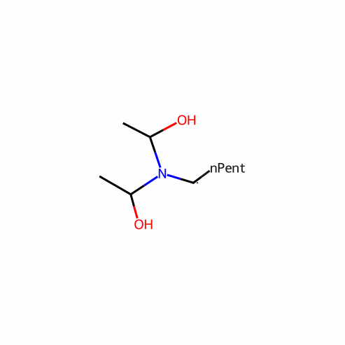 CCCCC[CH]N(C(C)O)C(C)O